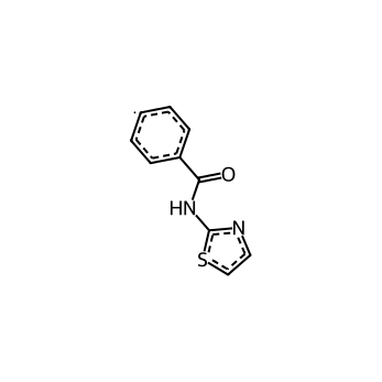 O=C(Nc1nccs1)c1cc[c]cc1